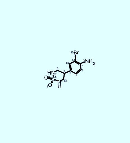 Nc1ccc(C2CNS(=O)(=O)NC2)cc1Br